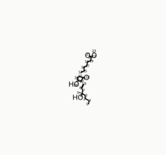 CCCC[C@](C)(O)CC=C[C@H]1C(=O)[C@@H](CCCCCCC(=O)OC)C[C@@H]1O